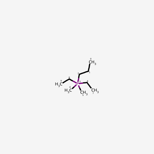 CCCP(C)(C)(CC)CC